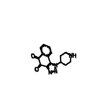 O=C1C(=O)c2nnn(C3CCNCC3)c2-c2ccccc21